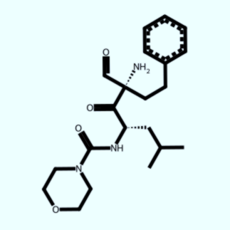 CC(C)C[C@H](NC(=O)N1CCOCC1)C(=O)[C@@](N)(C=O)CCc1ccccc1